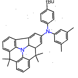 Cc1cc(C)cc(N(C2=CC3C4C(=C2)c2cccc5c2N4c2c(cccc2C3(C)C)C5(C)C)c2ccc(C(C)(C)C)cc2)c1